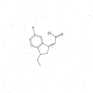 CCC1C/C(=C/C(=O)Cl)c2cc(F)ccc21